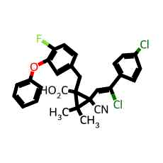 CC1(C)C(C#N)(C=C(Cl)c2ccc(Cl)cc2)C1(Cc1ccc(F)c(Oc2ccccc2)c1)C(=O)O